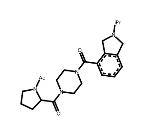 CC(=O)N1CCCC1C(=O)N1CCN(C(=O)c2cccc3c2CN(C(C)C)C3)CC1